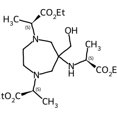 CCOC(=O)[C@H](C)NC1(CO)CN([C@@H](C)C(=O)OCC)CCN([C@@H](C)C(=O)OCC)C1